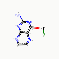 CCl.Nc1nc2nccnc2c(=O)[nH]1